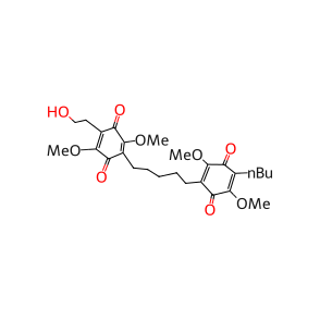 CCCCC1=C(OC)C(=O)C(CCCCCC2=C(OC)C(=O)C(CCO)=C(OC)C2=O)=C(OC)C1=O